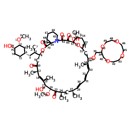 CO[C@@H]1C[C@H](C[C@@H](C)[C@@H]2CC(=O)[C@H](C)/C=C(\C)[C@@H](O)[C@@H](OC)C(=O)[C@H](C)C[C@H](C)/C=C/C=C/C=C(\C)[C@H](OCC3COCCOCCOCCO3)C[C@@H]3CC[C@@H](C)[C@@](O)(O3)C(=O)C(=O)N3CCCC[C@H]3C(=O)O2)CC[C@H]1O